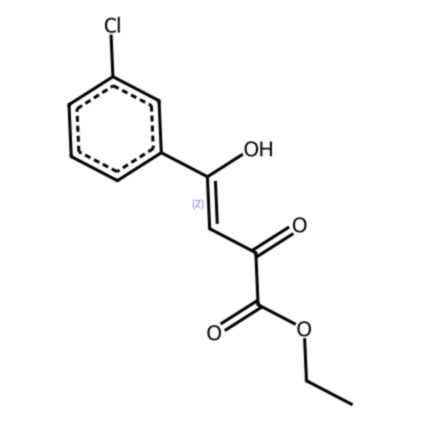 CCOC(=O)C(=O)/C=C(\O)c1cccc(Cl)c1